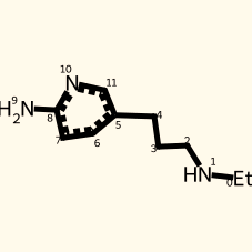 CCNCCCc1ccc(N)nc1